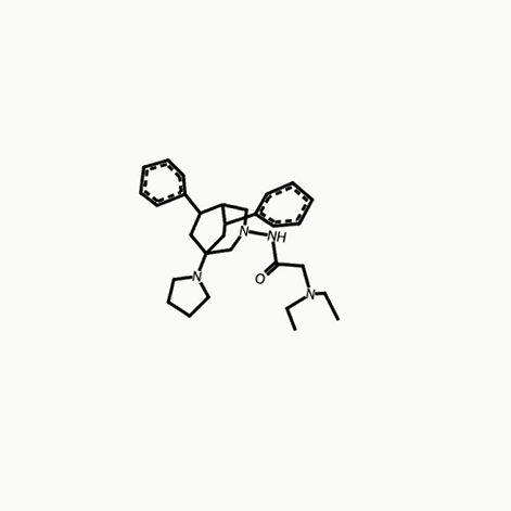 CCN(CC)CC(=O)NN1CC2C(c3ccccc3)CC(N3CCCC3)(CC2c2ccccc2)C1